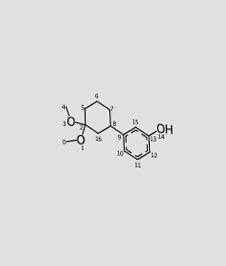 COC1(OC)CCCC(c2cccc(O)c2)C1